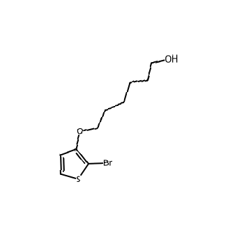 OCCCCCCOc1ccsc1Br